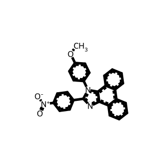 COc1ccc(-n2c(-c3ccc([N+](=O)[O-])cc3)nc3c4ccccc4c4ccccc4c32)cc1